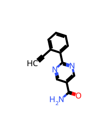 C#Cc1ccccc1-c1ncc(C(N)=O)cn1